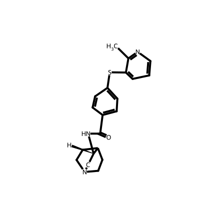 Cc1ncccc1Sc1ccc(C(=O)N[C@H]2CN3CCC2CC3)cc1